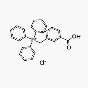 O=C(O)c1cccc(C[P+](c2ccccc2)(c2ccccc2)c2ccccc2)c1.[Cl-]